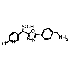 NCc1ccc(-c2nnc(C(c3ccc(Cl)nc3)S(=O)(=O)O)o2)cc1